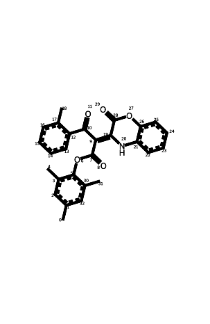 Cc1cc(C)c(OC(=O)C(C(=O)c2ccccc2C)=C2Nc3ccccc3OC2=O)c(C)c1